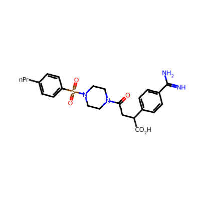 CCCc1ccc(S(=O)(=O)N2CCN(C(=O)CC(C(=O)O)c3ccc(C(=N)N)cc3)CC2)cc1